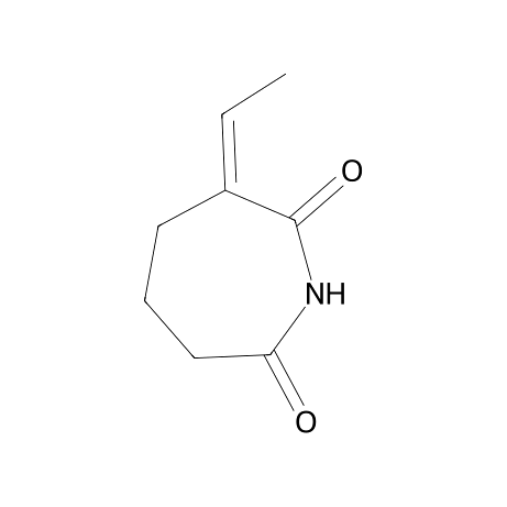 CC=C1CCCC(=O)NC1=O